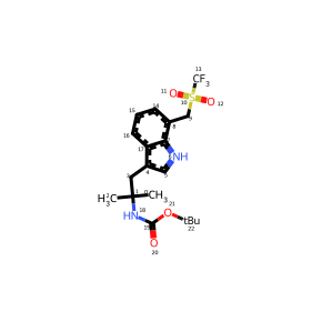 CC(C)(Cc1c[nH]c2c(CS(=O)(=O)C(F)(F)F)cccc12)NC(=O)OC(C)(C)C